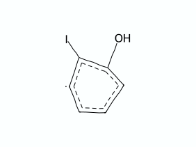 Oc1ccc[c]c1I